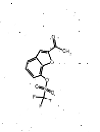 CC(=O)c1cc2cccc(OS(=O)(=O)C(F)(F)F)c2o1